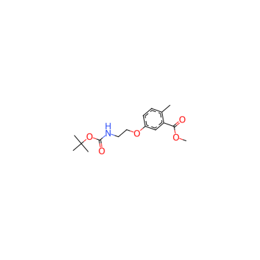 COC(=O)c1cc(OCCNC(=O)OC(C)(C)C)ccc1C